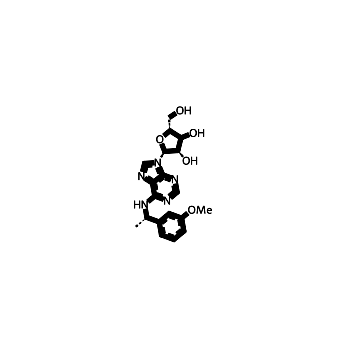 COc1cccc([C@H](C)Nc2ncnc3c2ncn3[C@@H]2O[C@H](CO)C(O)[C@@H]2O)c1